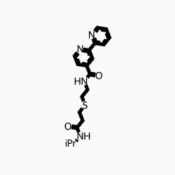 CC(C)NC(=O)CCSCCNC(=O)c1ccnc(-c2ccccn2)c1